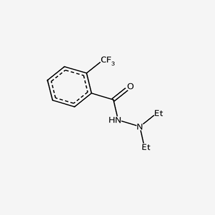 CCN(CC)NC(=O)c1ccccc1C(F)(F)F